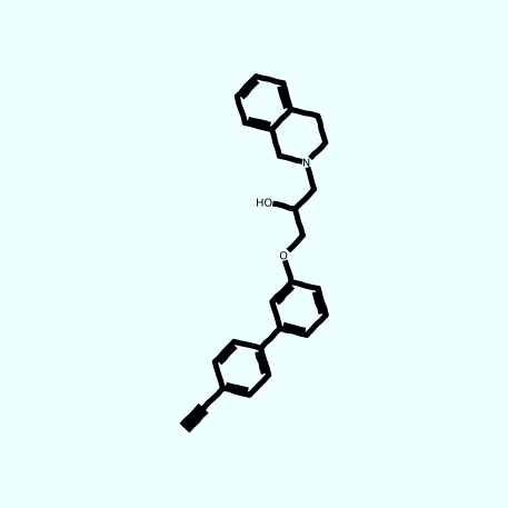 C#Cc1ccc(-c2cccc(OCC(O)CN3CCc4ccccc4C3)c2)cc1